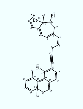 CC/C=C\C1=CC=C(/C=C\CC#Cc2ccc3c(c2CC)=C2C(C)=CC=CC2(C)CC=3)CC(CC)C1(C)CC